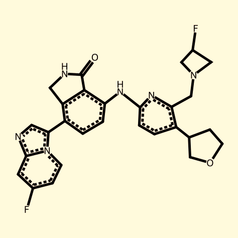 O=C1NCc2c(-c3cnc4cc(F)ccn34)ccc(Nc3ccc(C4CCOC4)c(CN4CC(F)C4)n3)c21